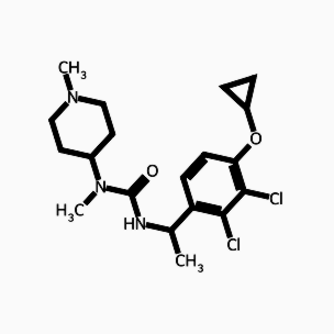 CC(NC(=O)N(C)C1CCN(C)CC1)c1ccc(OC2CC2)c(Cl)c1Cl